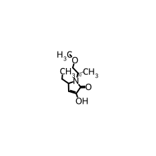 CCC1C=C(O)C(=O)N1[C@@H](C)COC